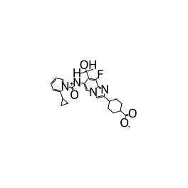 COC(=O)C1CCC(c2cn3cc(NC(=O)[n+]4ccccc4C4CC4)c(C(C)(C)O)c(F)c3n2)CC1